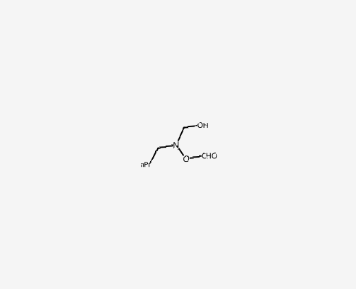 CCCCN(CO)OC=O